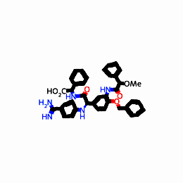 COC(C(=O)Nc1cc([C@@H](Nc2ccc(C(=N)N)cc2)C(=O)NC(C(=O)O)c2ccccc2)ccc1OCc1ccccc1)c1ccccc1